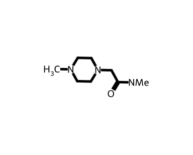 CNC(=O)CN1CCN(C)CC1